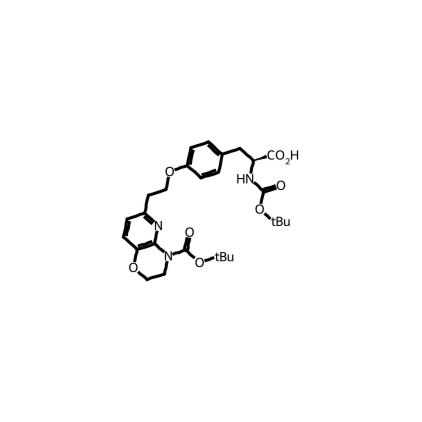 CC(C)(C)OC(=O)N[C@@H](Cc1ccc(OCCc2ccc3c(n2)N(C(=O)OC(C)(C)C)CCO3)cc1)C(=O)O